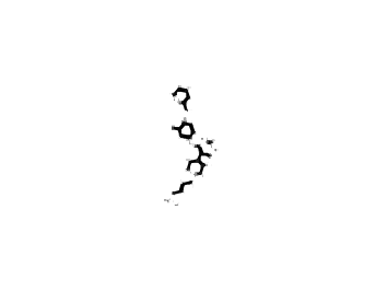 CCN(C)CC=CC(=O)N1CCc2c(sc3ncnc(Nc4ccc(OCc5ccccn5)c(Cl)c4)c23)C1